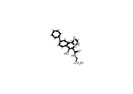 CCOC(=O)CNC(=O)c1c(O)c2ccc(-c3ccccc3)cc2c2ncnn12